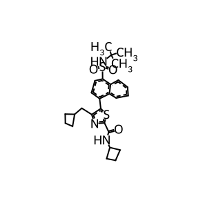 CC(C)(C)NS(=O)(=O)c1ccc(-c2sc(C(=O)NC3CCC3)nc2CC2CCC2)c2ccccc12